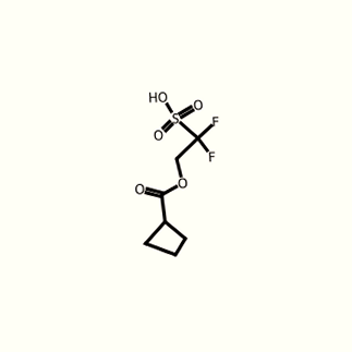 O=C(OCC(F)(F)S(=O)(=O)O)C1CCC1